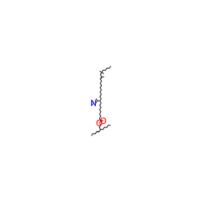 CCC/C=C/C(CCCCC)CCOC(=O)CCCCCCCCC(CCCCCCCCC/C=C(\C)CC(C)(C)CCCCC)C(C)CN(C)C